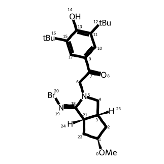 CO[C@@H]1C[C@H]2CN(CC(=O)c3cc(C(C)(C)C)c(O)c(C(C)(C)C)c3)/C(=N\Br)[C@H]2C1